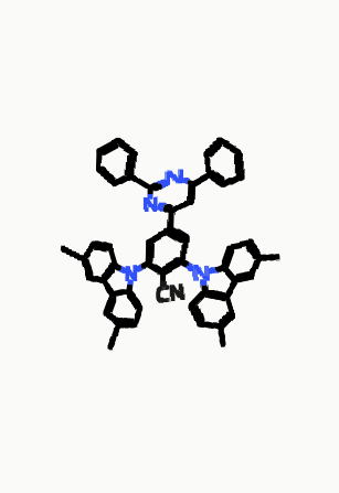 Cc1ccc2c(c1)c1cc(C)ccc1n2-c1cc(-c2cc(-c3ccccc3)nc(-c3ccccc3)n2)cc(-n2c3ccc(C)cc3c3cc(C)ccc32)c1C#N